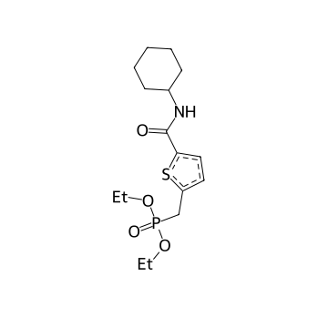 CCOP(=O)(Cc1ccc(C(=O)NC2CCCCC2)s1)OCC